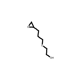 OCCOCCCC1CO1